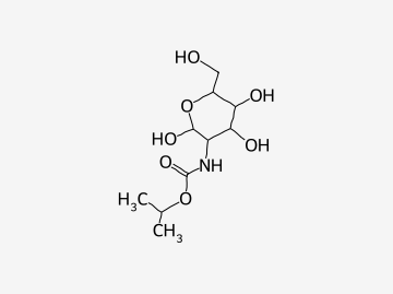 CC(C)OC(=O)NC1C(O)OC(CO)C(O)C1O